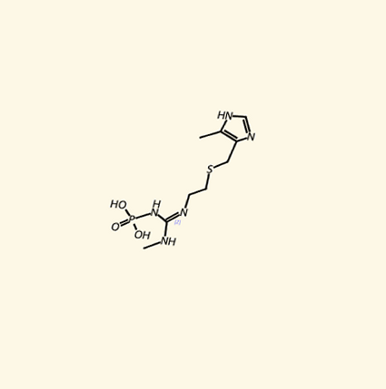 CN/C(=N/CCSCc1nc[nH]c1C)NP(=O)(O)O